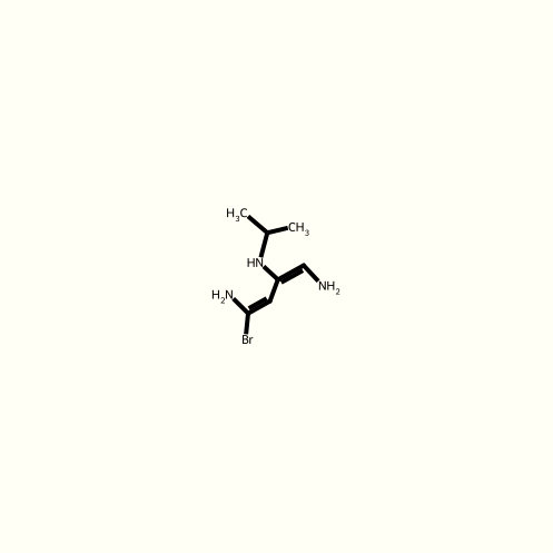 CC(C)NC(/C=C(\N)Br)=C/N